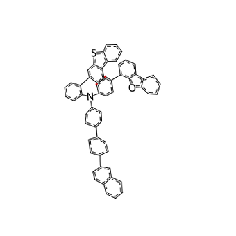 c1ccc(N(c2ccc(-c3ccc(-c4ccc5ccccc5c4)cc3)cc2)c2ccc(-c3cccc4c3oc3ccccc34)cc2)c(-c2ccc3c(c2)sc2ccccc23)c1